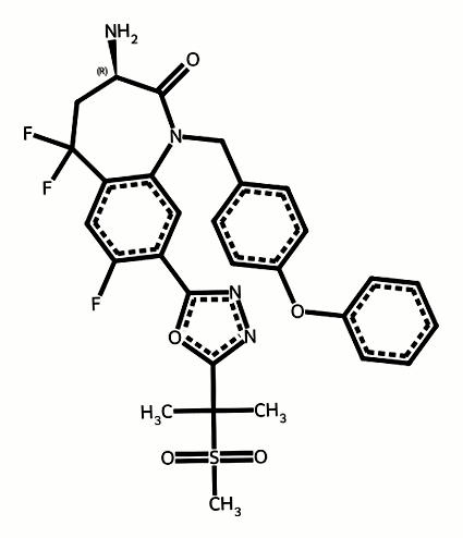 CC(C)(c1nnc(-c2cc3c(cc2F)C(F)(F)C[C@@H](N)C(=O)N3Cc2ccc(Oc3ccccc3)cc2)o1)S(C)(=O)=O